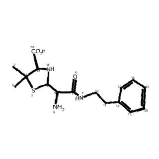 CC1(C)SC(C(N)C(=O)NCCc2ccccc2)NC1C(=O)O